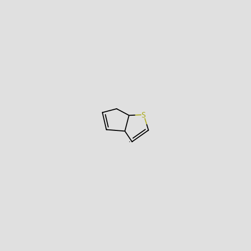 [C]1=CSC2CC=CC12